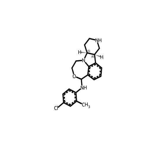 Cc1cc(Cl)ccc1NC1OCCN2c3c1cccc3[C@@H]1CNCC[C@@H]12